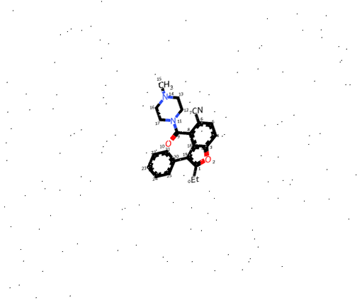 CCc1oc2ccc(C#N)c(C(=O)N3CCN(C)CC3)c2c1-c1ccccc1